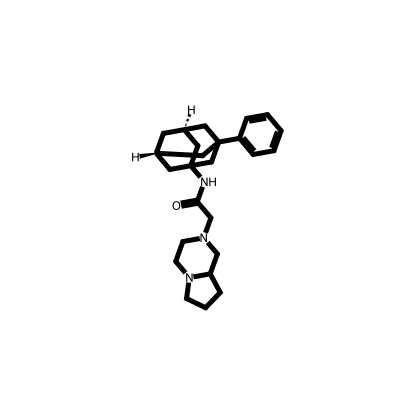 O=C(CN1CCN2CCCC2C1)NC12C[C@H]3C[C@@H](C1)CC(c1ccccc1)(C3)C2